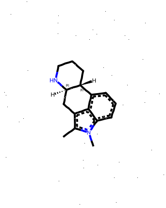 Cc1c2c3c(cccc3n1C)[C@H]1CCCN[C@@H]1C2